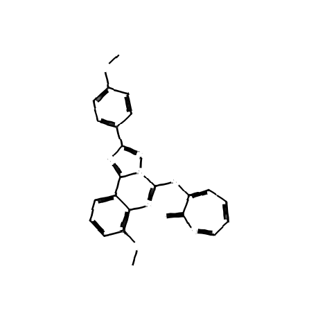 COc1ccc(-c2nc3c4cccc(SC)c4nc(Nc4ccccnc4=O)n3n2)cc1